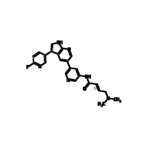 CN(C)C/C=C/C(=O)Nc1cncc(-c2cnc3[nH]cc(-c4ccc(F)nc4)c3c2)c1